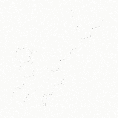 CCCCN(CCCC)CCNC(=O)c1ccc(/C=C(/C)Sc2ccccc2N(C=O)Cc2cccc(Cl)c2)cc1